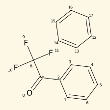 O=C(c1ccccc1)C(F)(F)F.c1ccccc1